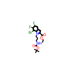 CCOC(=O)c1cc2cc(F)c(F)c(Br)c2n1CCCNC(=O)OC(C)(C)C